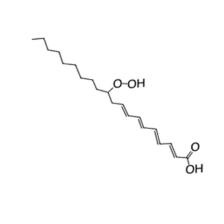 CCCCCCCCCC(CC=CC=CC=CC=CC(=O)O)OO